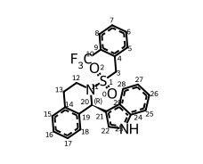 O=S(=O)(Cc1ccccc1C(F)(F)F)N1CCc2ccccc2[C@@H]1c1c[nH]c2ccccc12